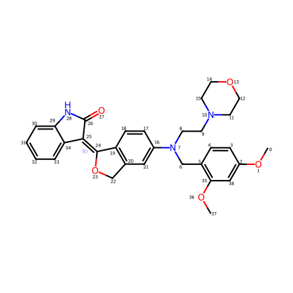 COc1ccc(CN(CCN2CCOCC2)c2ccc3c(c2)CO/C3=C2/C(=O)Nc3ccccc32)c(OC)c1